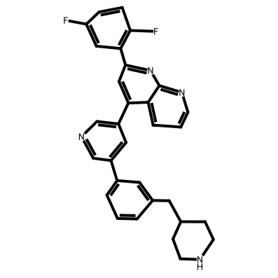 Fc1ccc(F)c(-c2cc(-c3cncc(-c4cccc(CC5CCNCC5)c4)c3)c3cccnc3n2)c1